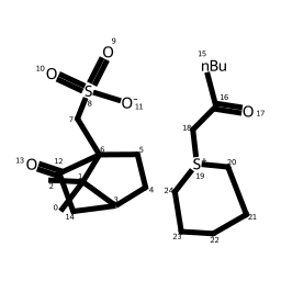 CC1(C)C2CCC1(CS(=O)(=O)[O-])C(=O)C2.CCCCC(=O)C[S+]1CCCCC1